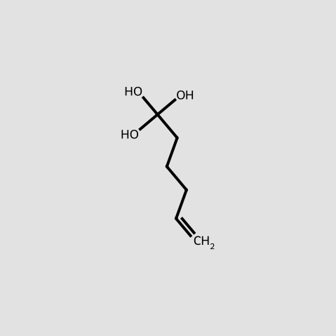 C=CCCCC(O)(O)O